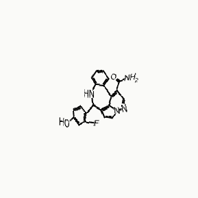 NC(=O)c1cnn2ccc3c2c1-c1ccccc1NC3c1ccc(O)cc1F